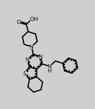 O=C(O)C1CCN(c2nc(NCc3ccccc3)c3c4c(sc3n2)CCCC4)CC1